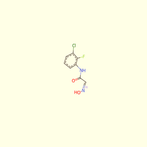 O=C(/C=N\O)Nc1cccc(Cl)c1F